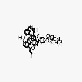 CC(C)c1nccc(CCCI)c1-n1c(=O)nc(N2CCN(C(=O)OC(C)(C)C)CC2C)c2cc(F)c(-c3cccc4cn[nH]c34)nc21